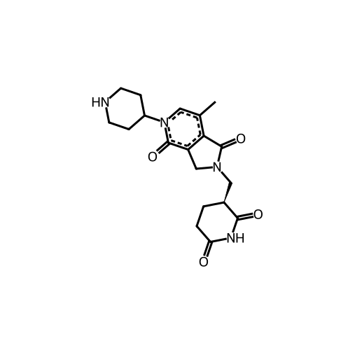 Cc1cn(C2CCNCC2)c(=O)c2c1C(=O)N(C[C@@H]1CCC(=O)NC1=O)C2